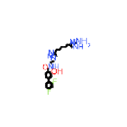 Nc1nc(CCCCCc2cn(CCNC(=O)c3ccc(-c4ccc(F)cc4F)cc3O)nn2)c[nH]1